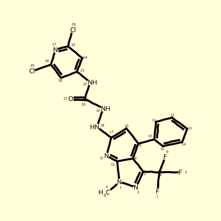 Cn1nc(C(F)(F)F)c2c(-c3ccccc3)cc(NNC(=O)Nc3cc(Cl)nc(Cl)c3)nc21